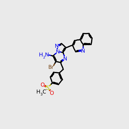 CS(=O)(=O)c1ccc(Cc2nc3c(-c4cnc5ccccc5c4)cnn3c(N)c2Br)cc1